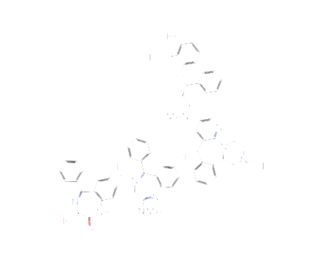 CN1CCN2c3ncccc3Cc3ccccc3C2C1.CNC1=Nc2ccc(Cl)cc2C(c2ccccc2)=[N+]([O-])C1.CNCC[C@@H](Oc1ccccc1C)c1ccccc1.Cl.O=C1Nc2ccc(Cl)cc2C(c2ccccc2)=NC1O